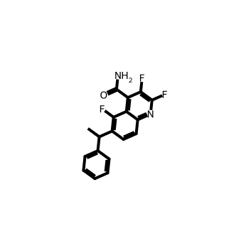 CC(c1ccccc1)c1ccc2nc(F)c(F)c(C(N)=O)c2c1F